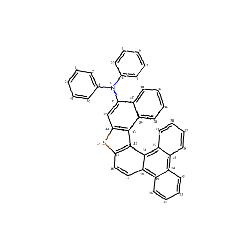 c1ccc(N(c2ccccc2)c2cc3sc4ccc5c6ccccc6c6ccccc6c5c4c3c3ccccc23)cc1